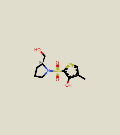 Cc1csc(S(=O)(=O)N2CCC[C@H]2CO)c1O